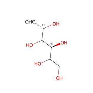 O=C[C@H](O)C(O)[C@@H](O)C(O)CO